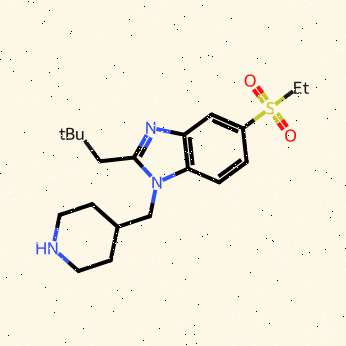 CCS(=O)(=O)c1ccc2c(c1)nc(CC(C)(C)C)n2CC1CCNCC1